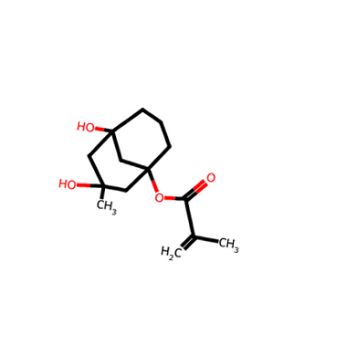 C=C(C)C(=O)OC12CCCC(O)(CC(C)(O)C1)C2